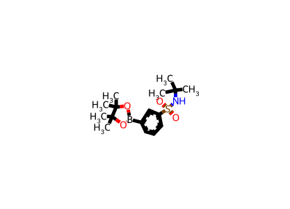 CC(C)(C)NS(=O)(=O)c1cccc(B2OC(C)(C)C(C)(C)O2)c1